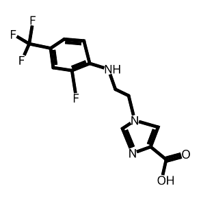 O=C(O)c1cn(CCNc2ccc(C(F)(F)F)cc2F)cn1